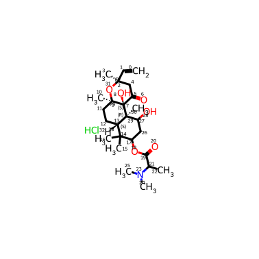 C=C[C@@]1(C)CC(=O)[C@@]2(O)[C@@](C)(CC[C@H]3C(C)(C)C(OC(=O)C(C)N(C)C)CC(O)[C@@]32C)O1.Cl